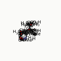 CNC(=O)[C@@H](Cc1c[nH]c2ccccc12)NC(=O)[C@H](Cc1ccc(O)cc1)NC(=O)[C@H](CSSC[C@H](NC(=O)[C@@H](N)[C@@H](C)O)C(=O)N[C@H](C(=O)O)[C@@H](C)O)NC(=O)[C@H](N)CSSCCC(=O)N(C)[C@@H](C)C(=O)O[C@H]1CC(=O)N(C)c2cc(cc(OC)c2Cl)C/C(C)=C/C=C/[C@@H](OC)[C@@]2(O)C[C@H](OC(=O)N2)C2(C)C[C@@]1(C)O2